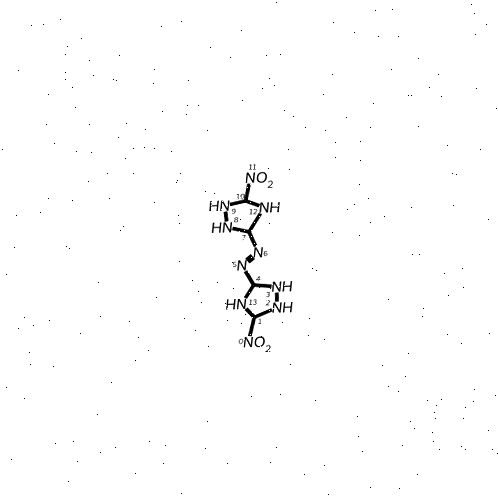 O=[N+]([O-])C1NNC(N=NC2NNC([N+](=O)[O-])N2)N1